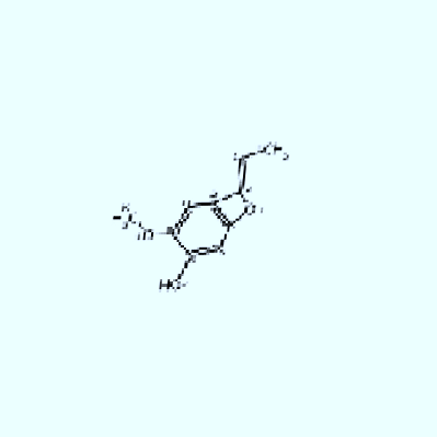 CC=C1Oc2cc(O)c(OC)cc21